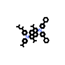 CC(C)CC(C)c1ccc(N(c2ccc(C(C)C)cc2)c2cc(C(C)C)c3ccc4c(N(c5ccc(C6CCCCC6)cc5)c5ccc(C6CCCCC6)cc5)cc(C(C)C)c5ccc2c3c54)cc1